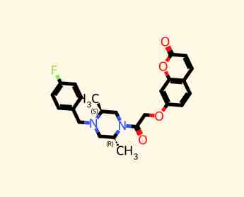 C[C@@H]1CN(Cc2ccc(F)cc2)[C@@H](C)CN1C(=O)COc1ccc2ccc(=O)oc2c1